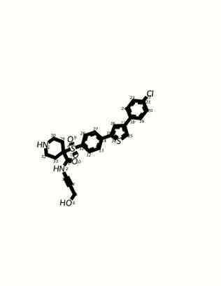 O=C(NC#CCO)C1(S(=O)(=O)c2ccc(-c3cc(-c4ccc(Cl)cc4)cs3)cc2)CCNCC1